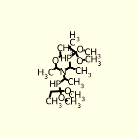 CCOC(C)N(C(C)PC(CC)(OC)OC)C(C)PC(CC)(OC)OC